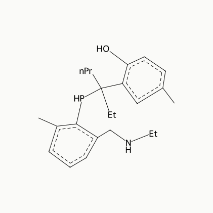 CCCC(CC)(Pc1c(C)cccc1CNCC)c1cc(C)ccc1O